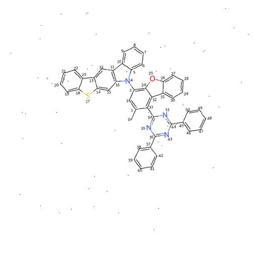 Cc1cc(-n2c3ccccc3c3cc4c(cc32)sc2ccccc24)c2oc3ccccc3c2c1-c1nc(-c2ccccc2)nc(-c2ccccc2)n1